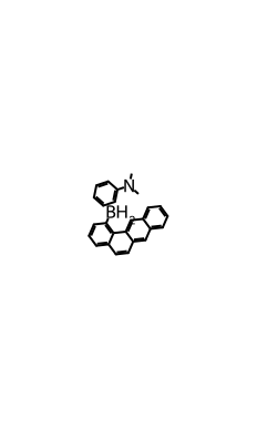 Bc1cccc2ccc3cc4ccccc4cc3c12.CN(C)c1ccccc1